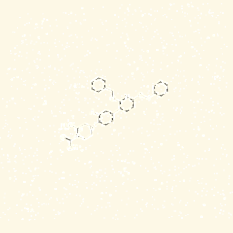 C[C@H]1CN(c2ccc(-c3ccc(OCc4ccccc4)nc3OCc3ccccc3)cc2F)CCN1C(=O)O